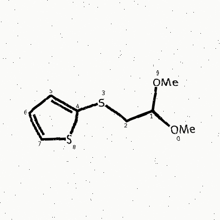 COC(CSc1cccs1)OC